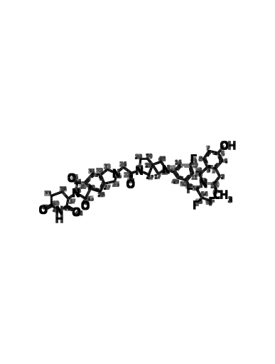 C[C@@H]1Cc2cc(O)ccc2[C@@H](c2c(F)cc(N3CC4(CCN(C(=O)CN5Cc6cc7c(cc6C5)C(=O)N(C5CCC(=O)NC5=O)C7=O)C4)C3)cc2F)N1CC(F)F